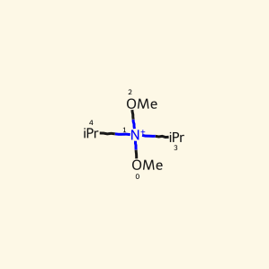 CO[N+](OC)(C(C)C)C(C)C